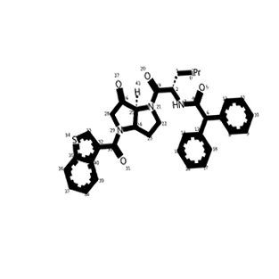 CC(C)C[C@H](NC(=O)C(c1ccccc1)c1ccccc1)C(=O)N1CCC2[C@H]1C(=O)CN2C(=O)c1csc2ccccc12